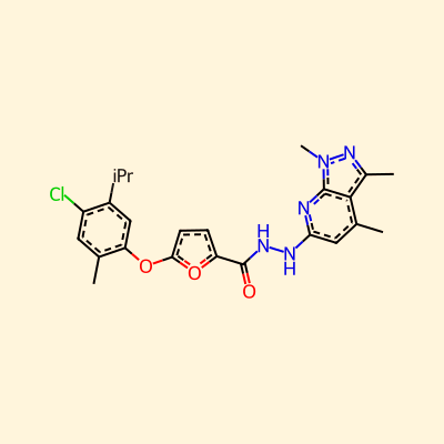 Cc1cc(Cl)c(C(C)C)cc1Oc1ccc(C(=O)NNc2cc(C)c3c(C)nn(C)c3n2)o1